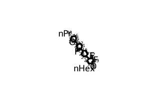 CCCCCCOc1ccc(-c2ccc(-c3ccc(C4CCC(CCC)CO4)cc3F)cc2)c(F)c1F